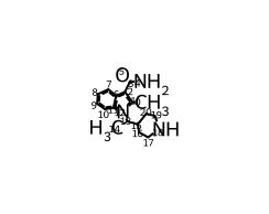 Cc1c(C(N)=O)c2ccccc2n1[C@H](C)C1CCNCC1